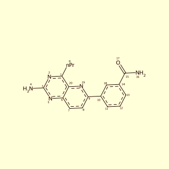 CCCc1nc(N)nc2ccc(-c3cccc(C(N)=O)c3)nc12